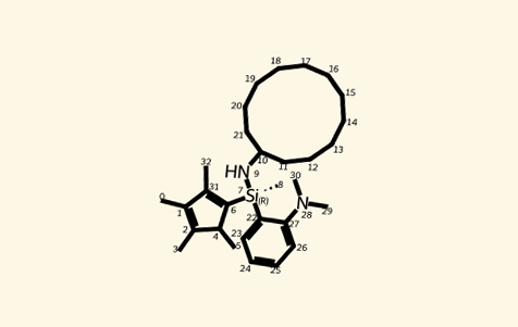 CC1=C(C)C(C)C([Si@@](C)(NC2CCCCCCCCCCC2)c2ccccc2N(C)C)=C1C